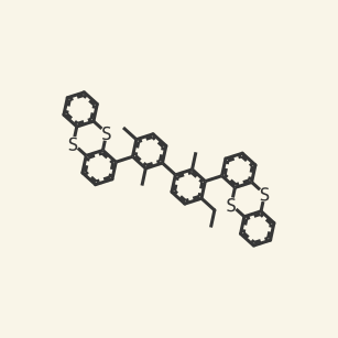 CCc1ccc(-c2ccc(C)c(-c3cccc4c3Sc3ccccc3S4)c2C)c(C)c1-c1cccc2c1Sc1ccccc1S2